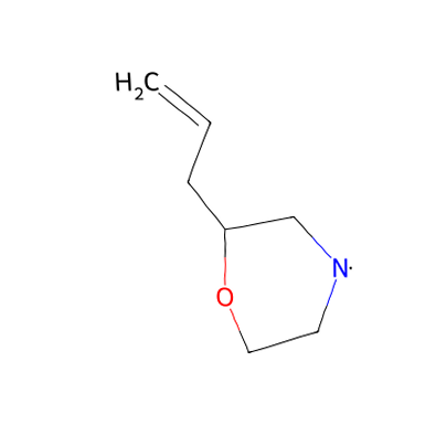 C=CCC1C[N]CCO1